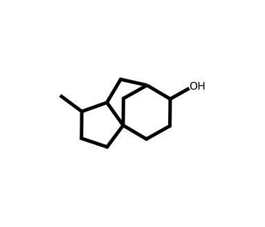 CC1CCC23CCC(O)C(CC12)C3